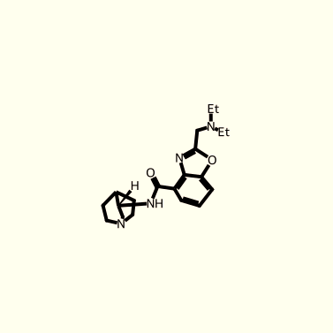 CCN(CC)Cc1nc2c(C(=O)N[C@@H]3CN4CCC3CC4)cccc2o1